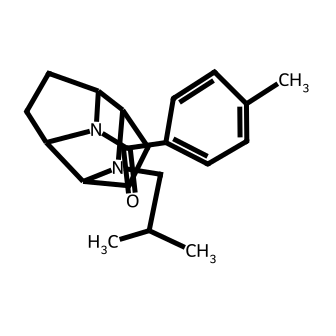 Cc1ccc(C(=O)N2C3CCC2C2CCC3N2CC(C)C)cc1